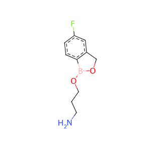 NCCCOB1OCc2cc(F)ccc21